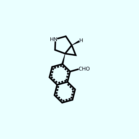 O=Cc1c([C@@]23CNC[C@@H]2C3)ccc2ccccc12